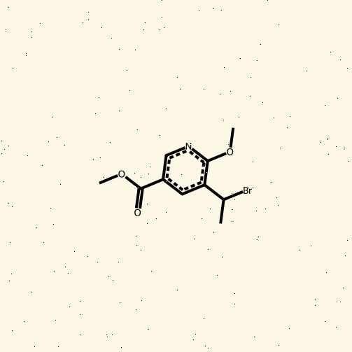 COC(=O)c1cnc(OC)c(C(C)Br)c1